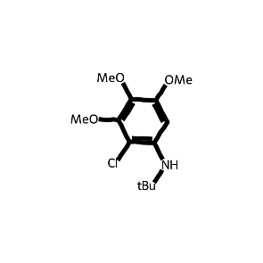 COc1cc(NC(C)(C)C)c(Cl)c(OC)c1OC